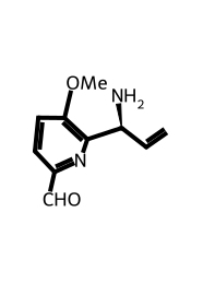 C=C[C@H](N)c1nc(C=O)ccc1OC